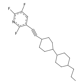 CCCC1CCC(C2CCC(C#Cc3cc(F)c(F)nc3F)CC2)CC1